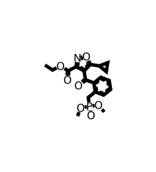 CCOC(=O)c1noc(C2CC2)c1C(=O)c1ccccc1CP(=O)(OC)OC